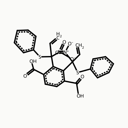 C=CC(Sc1ccccc1)(c1c(C(=O)O)ccc(C(=O)O)c1C(C=C)(Sc1ccccc1)[N+](=O)[O-])[N+](=O)[O-]